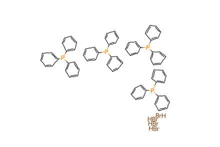 Br.Br.Br.Br.c1ccc(P(c2ccccc2)c2ccccc2)cc1.c1ccc(P(c2ccccc2)c2ccccc2)cc1.c1ccc(P(c2ccccc2)c2ccccc2)cc1.c1ccc(P(c2ccccc2)c2ccccc2)cc1